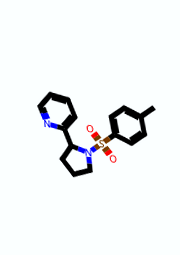 Cc1ccc(S(=O)(=O)N2CCCC2c2ccccn2)cc1